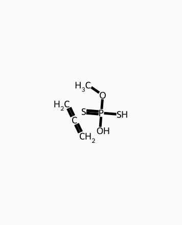 C=C=C.COP(O)(=S)S